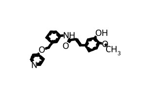 COc1ccc(/C=C/C(=O)Nc2cccc(COc3ccncc3)c2)cc1O